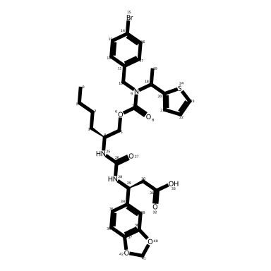 CCCC[C@@H](COC(=O)N(Cc1ccc(Br)cc1)C(C)c1cccs1)NC(=O)N[C@@H](CC(=O)O)c1ccc2c(c1)OCO2